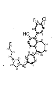 Oc1ccc2c(c1-c1ccc(Cl)c(F)c1)CCCC=C2c1cnc(O[C@H]2CCN(CCCF)C2)cn1